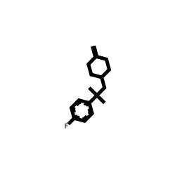 C=C1CCC(CC(C)(C)c2ccc(F)cc2)CC1